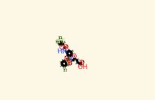 CC(C)(OC(=O)Nc1ccc2c(c1)N(S(=O)(=O)c1cccc(F)c1)C[C@H](CCC(=O)O)O2)C(F)(F)F